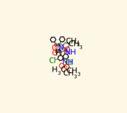 CC1(C)CCC2(CC1)N1[C@H](c3ccccc3)[C@H](c3ccccc3)OC(=O)[C@H]1C(c1cc(Cl)cc(NC(=O)OC(C)(C)C)c1)C21C(=O)Nc2cc(Cl)ccc21